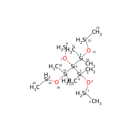 C[SiH2]O[Si](C)(C)[Si](O[SiH3])([Si](C)(C)O[SiH2]C)[Si](C)(C)O[SiH2]C